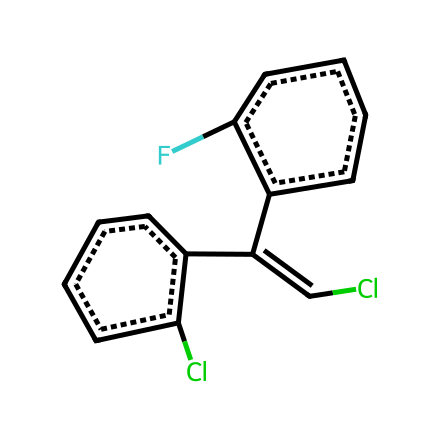 Fc1ccccc1/C(=C\Cl)c1ccccc1Cl